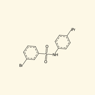 CC(C)c1ccc(NS(=O)(=O)c2cccc(Br)c2)cc1